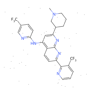 CN1CCCC(c2cc(Nc3ccc(C(F)(F)F)cn3)c3ccc(-c4ncccc4C(F)(F)F)nc3n2)C1